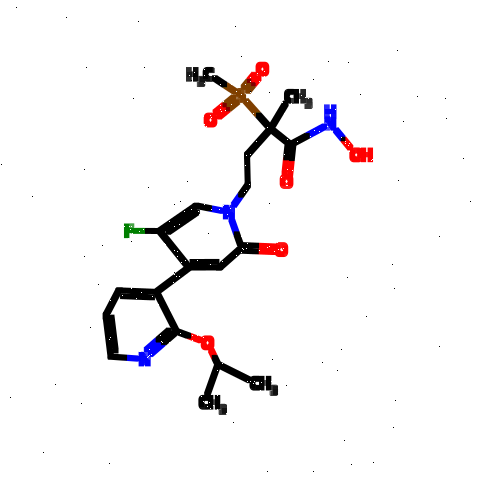 CC(C)Oc1ncccc1-c1cc(=O)n(CCC(C)(C(=O)NO)S(C)(=O)=O)cc1F